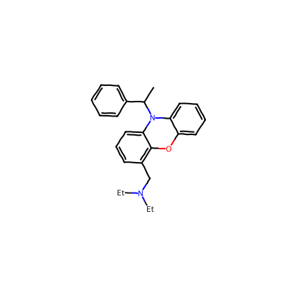 CCN(CC)Cc1cccc2c1Oc1ccccc1N2C(C)c1ccccc1